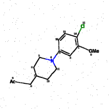 COc1cc(N2CCC(CC(C)=O)CC2)ccc1Cl